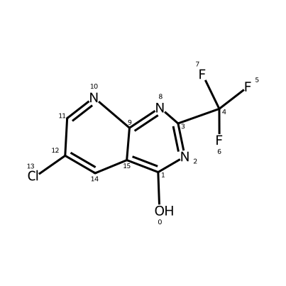 Oc1nc(C(F)(F)F)nc2ncc(Cl)cc12